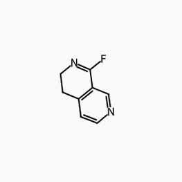 FC1=NCCc2ccncc21